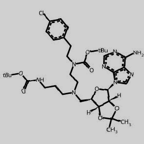 CC(C)(C)OC(=O)NCCCN(CCN(CCc1ccc(Cl)cc1)C(=O)OC(C)(C)C)C[C@H]1O[C@@H](n2cnc3c(N)ncnc32)[C@@H]2OC(C)(C)O[C@@H]21